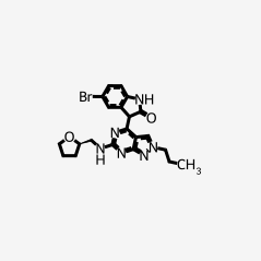 CCCn1cc2c(C3C(=O)Nc4ccc(Br)cc43)nc(NC[C@H]3CCCO3)nc2n1